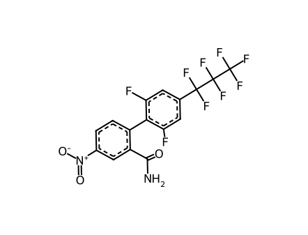 NC(=O)c1cc([N+](=O)[O-])ccc1-c1c(F)cc(C(F)(F)C(F)(F)C(F)(F)F)cc1F